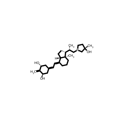 C=C1[C@H](O)CC(=C/C=C2\CCC[C@]3(C)[C@@H]([C@H](C)CN4CC[C@](C)(O)C4)CC[C@@H]23)C[C@H]1O